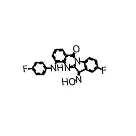 O=c1c2cccc(Nc3ccc(F)cc3)c2nc2n1-c1ccc(F)cc1/C2=N/O